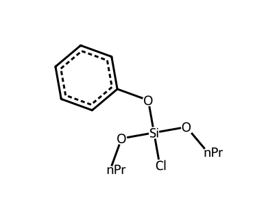 CCCO[Si](Cl)(OCCC)Oc1ccccc1